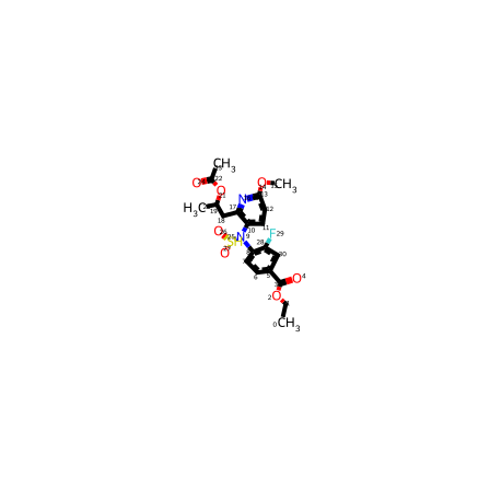 CCOC(=O)c1ccc(N(c2ccc(OC)nc2CC(C)OC(C)=O)[SH](=O)=O)c(F)c1